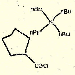 CCCC[N+](CCC)(CCCC)CCCC.O=C([O-])C1CCCC1